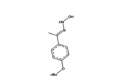 CCCCOc1ccc(/C(C)=N/NO)cc1